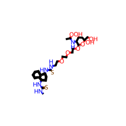 CNC(=S)Nc1ccc(NC(=S)NCCOCCOCCO[C@@H]2OC(O)(CO)CC(O)C2NC(C)=O)c2ccccc12